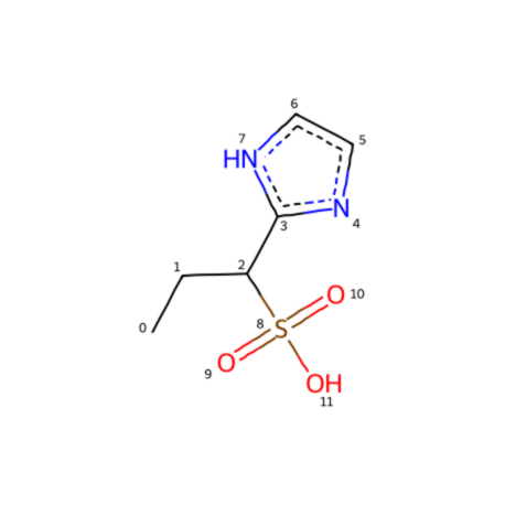 CCC(c1ncc[nH]1)S(=O)(=O)O